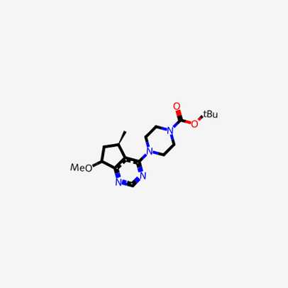 COC1C[C@@H](C)c2c1ncnc2N1CCN(C(=O)OC(C)(C)C)CC1